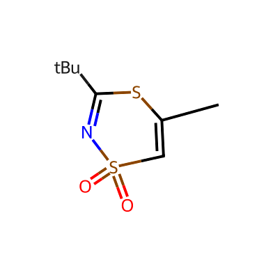 CC1=CS(=O)(=O)N=C(C(C)(C)C)S1